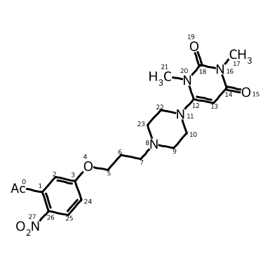 CC(=O)c1cc(OCCCN2CCN(c3cc(=O)n(C)c(=O)n3C)CC2)ccc1[N+](=O)[O-]